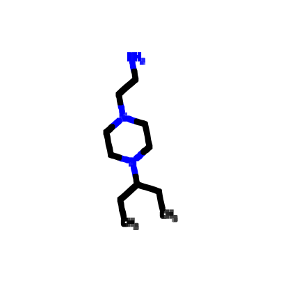 CCC(CC)N1CCN(CCN)CC1